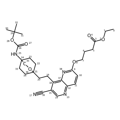 CCOC(=O)CCCOc1ccc2ncc(C#N)c(CCC34CCC(NC(=O)OC(C)(C)C)(CC3)CO4)c2n1